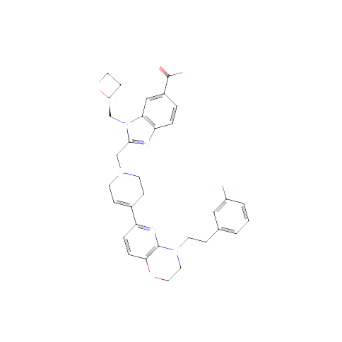 O=C(O)c1ccc2nc(CN3CC=C(c4ccc5c(n4)N(CCc4cccc(Cl)c4)CCO5)CC3)n(C[C@@H]3CCO3)c2c1